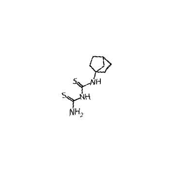 NC(=S)NC(=S)NC12CCC(CC1)C2